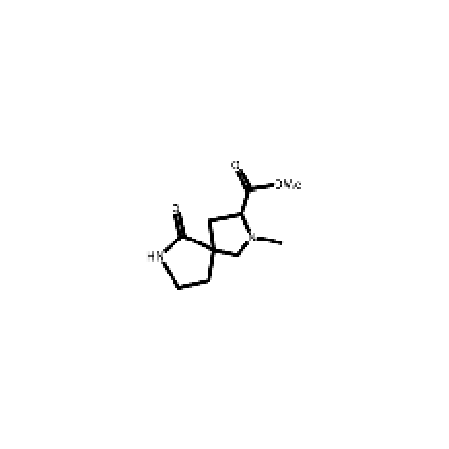 COC(=O)C1CC2(CCNC2=O)CN1C